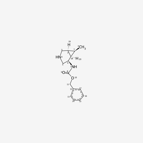 C[C@@H]1[C@@H]2CNC[C@H](NC(=O)OCc3ccccc3)[C@H]12